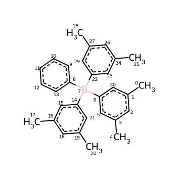 Cc1cc(C)cc([B-](c2ccccc2)(c2cc(C)cc(C)c2)c2cc(C)cc(C)c2)c1